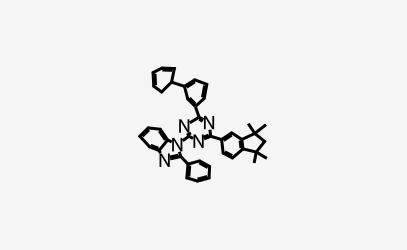 CC1(C)CC(C)(C)c2cc(-c3nc(-c4cccc(C5C=CC=CC5)c4)nc(-n4c(-c5ccccc5)nc5ccccc54)n3)ccc21